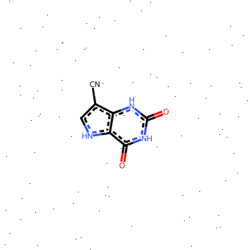 N#Cc1c[nH]c2c(=O)[nH]c(=O)[nH]c12